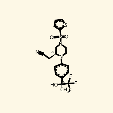 C[C@](O)(c1ccc(N2CCN(S(=O)(=O)c3cccs3)C[C@@H]2CC#N)cc1)C(F)(F)F